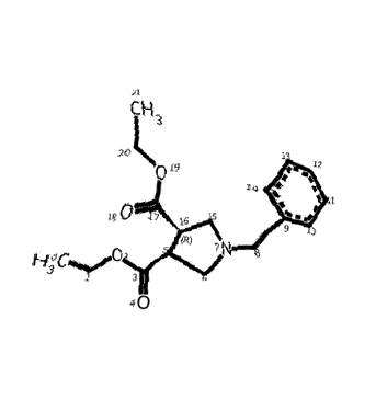 CCOC(=O)C1CN(Cc2ccccc2)C[C@@H]1C(=O)OCC